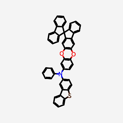 c1ccc(N(c2ccc3c(c2)Oc2cc4c(cc2O3)-c2ccccc2C42c3ccccc3-c3ccccc32)c2ccc3sc4ccccc4c3c2)cc1